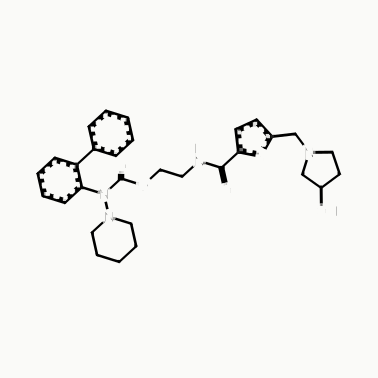 O=C(NCCOC(=O)N(c1ccccc1-c1ccccc1)N1CC[CH]CC1)c1ccc(CN2CCC(O)C2)s1